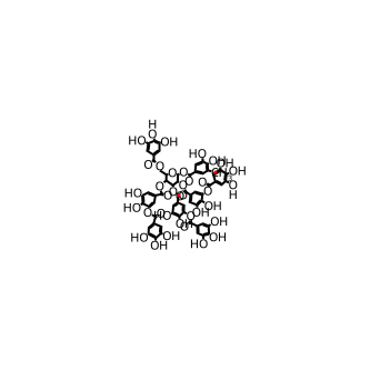 Cc1cc(C(=O)OC2OC(COC(=O)c3cc(O)c(O)c(O)c3)C(OC(=O)c3cc(O)c(O)c(OC(=O)c4cc(O)c(O)c(O)c4)c3)C(OC(=O)c3cc(O)c(O)c(OC(=O)c4cc(O)c(O)c(O)c4)c3)C2OC(=O)c2cc(O)c(O)c(OC(=O)c3cc(O)c(O)c(O)c3)c2)cc(O)c1O